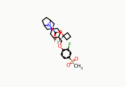 CS(=O)(=O)c1ccc(OCC2CCC(N3C4CCC3CN(C(=O)OC3(C(F)(F)F)CCC3)C4)CC2)c(F)c1